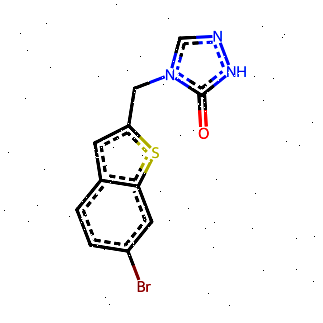 O=c1[nH]ncn1Cc1cc2ccc(Br)cc2s1